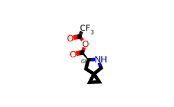 O=C(OC(=O)C(F)(F)F)[C@@H]1CC2(CC2)CN1